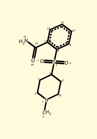 CN1CCC(S(=O)(=O)c2ccccc2C(N)=O)CC1